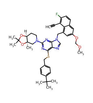 C#Cc1c(F)ccc2cc(OCOC)cc(Cn3cnc4c(SCc5ccc(C(C)(C)C)cc5)nc(N5CC[C@@H]6OC(C)(C)O[C@]6(C)C5)nc43)c12